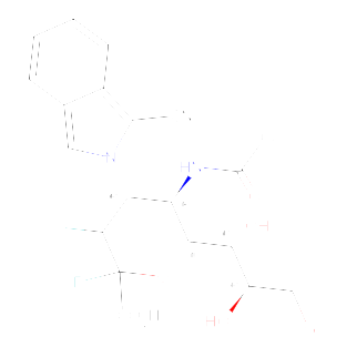 N#Cc1c2ccccc2cn1[C@H]1C(F)C(F)(C(=O)O)O[C@@H]([C@H](O)[C@H](O)CO)[C@@H]1NC(=O)C(Cl)(Cl)Cl